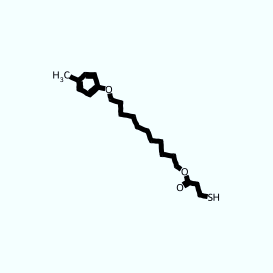 Cc1ccc(OCCCCCCCCCCCOC(=O)CCS)cc1